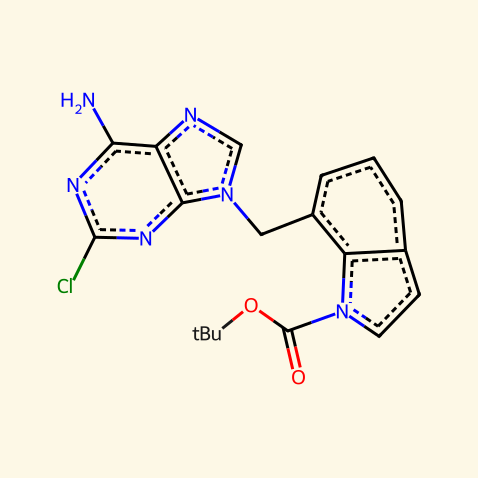 CC(C)(C)OC(=O)n1ccc2cccc(Cn3cnc4c(N)nc(Cl)nc43)c21